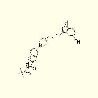 CC(C)(C)C(=O)NC(=O)c1cc2cc(N3CCN(CCCCc4c[nH]c5ccc(C#N)cc45)CC3)ccc2o1